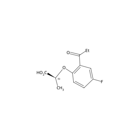 CCC(=O)c1cc(F)ccc1O[C@@H](C)C(=O)O